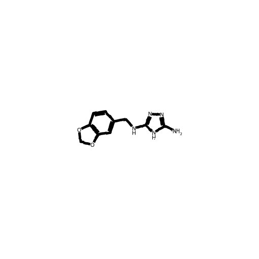 Nc1nnc(NCc2ccc3c(c2)OCO3)[nH]1